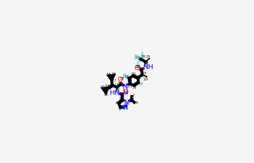 CC(C)n1nccc1C(=O)N[C@H](C(=O)Nc1ccc([C@H](C)C(=O)N[C@H](C)C(F)(F)F)cc1F)C(=C1CC1)C1CC1